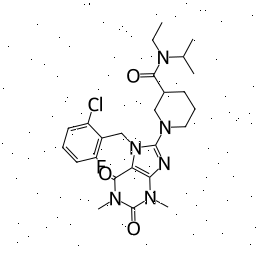 CCN(C(=O)C1CCCN(c2nc3c(c(=O)n(C)c(=O)n3C)n2Cc2c(F)cccc2Cl)C1)C(C)C